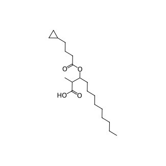 CCCCCCCCCC(OC(=O)CCCC1CC1)C(C)C(=O)O